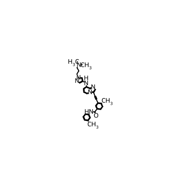 Cc1cccc(NC(=O)c2ccc(C)c(C#Cc3cnc4c(Nc5cnn(CCCN(C)C)c5)cccn34)c2)c1